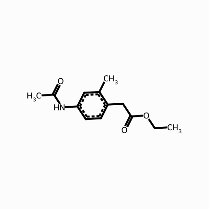 CCOC(=O)Cc1ccc(NC(C)=O)cc1C